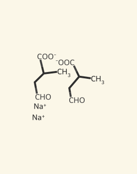 CC(CC=O)C(=O)[O-].CC(CC=O)C(=O)[O-].[Na+].[Na+]